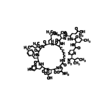 C=CCC(C)C(NC(=O)C(CCC(=O)O)NC(=O)C(CC(C)C)NC(=O)C1CSC(C(N)C(C)CC)=N1)C(=O)NC1CCCCNC(=O)C(CC(N)=O)NC(=O)C(CC(=O)O)NC(=O)C(Cc2c[nH]cn2)NC(=O)C(Cc2ccccc2)NC(=O)C(C(C)CC=C)NC(=O)C(CCCN)NC1=O